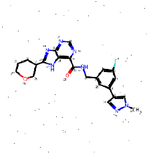 Cn1cc(-c2cc(F)cc(CNC(=O)c3ncnc4nc(C5CCCOC5)[nH]c34)c2)cn1